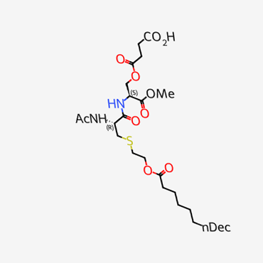 CCCCCCCCCCCCCCCC(=O)OCCSC[C@H](NC(C)=O)C(=O)N[C@@H](COC(=O)CCC(=O)O)C(=O)OC